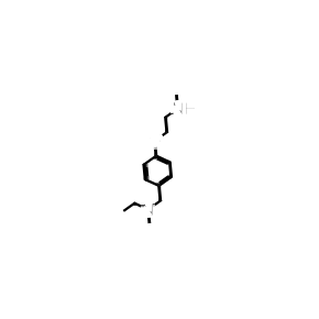 CCN(C)Cc1ccc(OCCNC)cc1